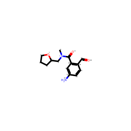 CN(CC1CCCO1)C(=O)c1cc(N)ccc1C=O